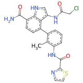 Cc1c(NC(=O)c2nccs2)cccc1-c1ccc(C(N)=O)c2[nH]cc(NC(=O)CCl)c12